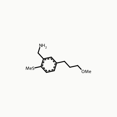 COCCCc1ccc(SC)c(CN)c1